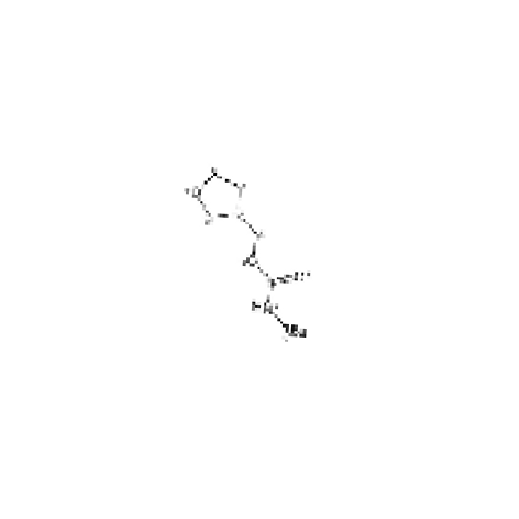 CC(C)(C)NC(=O)OCC1CCOC1